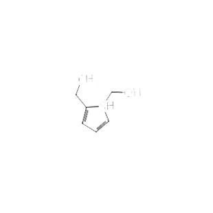 CCC1=CC=C[SH]1CO